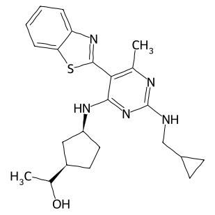 Cc1nc(NCC2CC2)nc(N[C@H]2CC[C@@H](C(C)O)C2)c1-c1nc2ccccc2s1